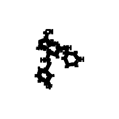 N#Cc1cnn2c(NCc3cccc(F)c3)cc(NC3CCCNC3)nc12